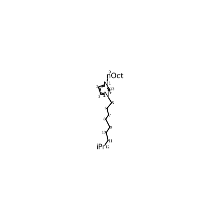 CCCCCCCCn1cc[n+](CCCCCCCC(C)C)c1